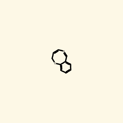 C1=CN=Cc2ccccc2OC1